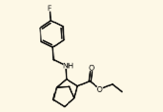 CCOC(=O)C1C2CCC(C2)C1NCc1ccc(F)cc1